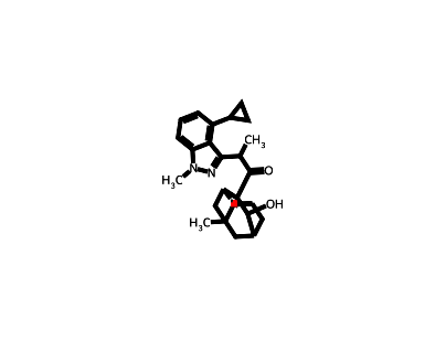 CC(C(=O)N1C2CC(O)C3CC1CC(C)(C3)C2)c1nn(C)c2cccc(C3CC3)c12